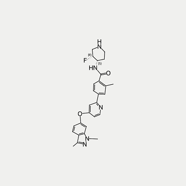 Cc1cc(-c2cc(Oc3ccc4c(C)nn(C)c4c3)ccn2)ccc1C(=O)N[C@H]1CCNC[C@H]1F